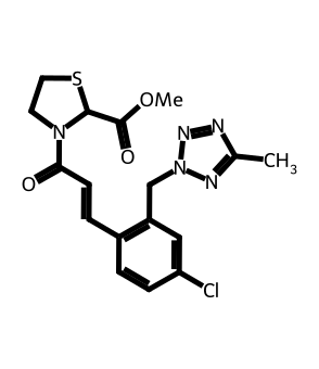 COC(=O)C1SCCN1C(=O)C=Cc1ccc(Cl)cc1Cn1nnc(C)n1